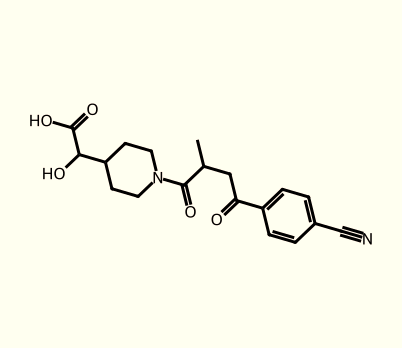 CC(CC(=O)c1ccc(C#N)cc1)C(=O)N1CCC(C(O)C(=O)O)CC1